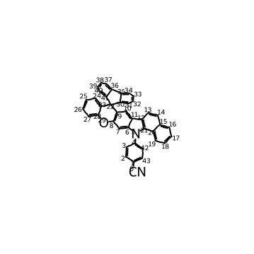 N#Cc1ccc(-n2c3cc4c(cc3c3ccc5ccccc5c32)C2(c3ccccc3O4)c3ccccc3-c3ccccc32)cc1